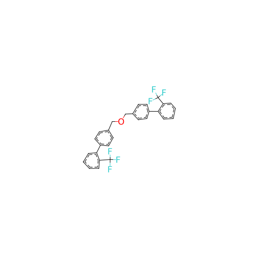 FC(F)(F)c1ccccc1-c1ccc(COCc2ccc(-c3ccccc3C(F)(F)F)cc2)cc1